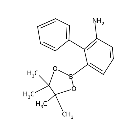 CC1(C)OB(c2cccc(N)c2-c2ccccc2)OC1(C)C